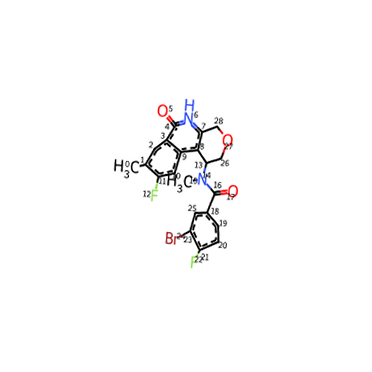 Cc1cc2c(=O)[nH]c3c(c2cc1F)C(N(C)C(=O)c1ccc(F)c(Br)c1)COC3